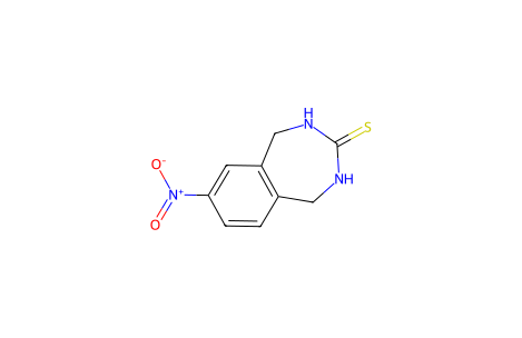 O=[N+]([O-])c1ccc2c(c1)CNC(=S)NC2